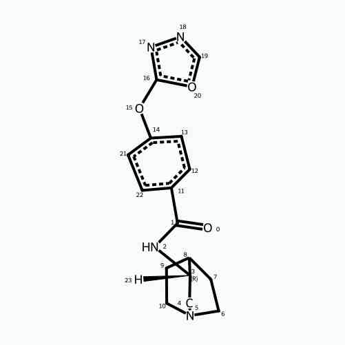 O=C(N[C@H]1CN2CCC1CC2)c1ccc(Oc2nnco2)cc1